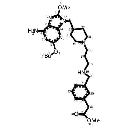 CCCCOc1nc(N)c2nc(OC)n(CC3CCN(CCCNCc4cccc(CC(=O)OC)c4)CC3)c2n1